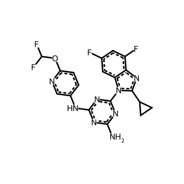 Nc1nc(Nc2ccc(OC(F)F)nc2)nc(-n2c(C3CC3)nc3c(F)cc(F)cc32)n1